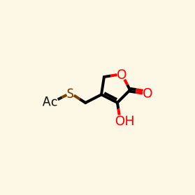 CC(=O)SCC1=C(O)C(=O)OC1